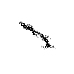 Cc1cc(-c2ccc3c(C)c(C4CCN(CCCc5cc(-c6ccc7c(C)c(-c8cnc9c(c8)CNCC9)[nH]c7c6)cc(C)n5)CC4)[nH]c3c2)cc(C)n1